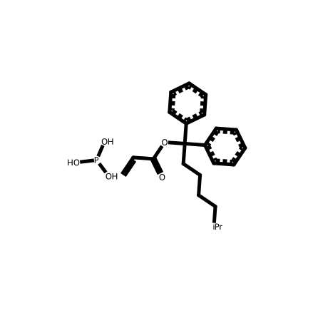 C=CC(=O)OC(CCCCC(C)C)(c1ccccc1)c1ccccc1.OP(O)O